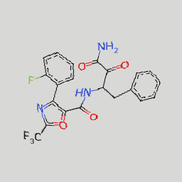 NC(=O)C(=O)C(Cc1ccccc1)NC(=O)c1oc(C(F)(F)F)nc1-c1ccccc1F